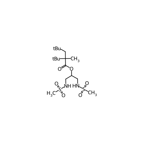 CC(C)(C)CC(C)(C(=O)OC(CNS(C)(=O)=O)CNS(C)(=O)=O)C(C)(C)C